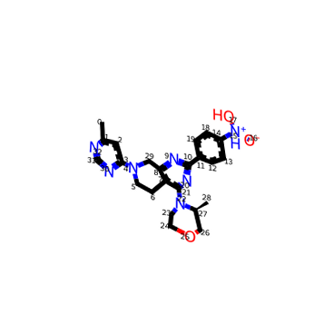 Cc1cc(N2CCc3c(nc(-c4ccc([NH+]([O-])O)cc4)nc3N3CCOC[C@@H]3C)C2)ncn1